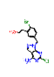 Nc1nc(Cl)nc2c1cnn2Cc1ccc(Br)c(CCO)c1